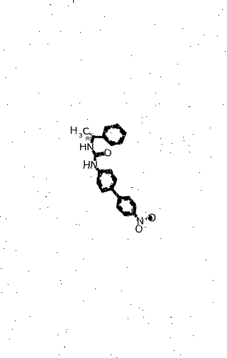 C[C@@H](NC(=O)Nc1ccc(-c2ccc([N+](=O)[O-])cc2)cc1)c1ccccc1